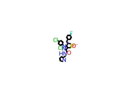 O=C(NCc1ccccn1)c1nn(-c2ccc(Cl)cc2Cl)c2c1C[S+]([O-])C/C2=C\c1ccc(F)cc1